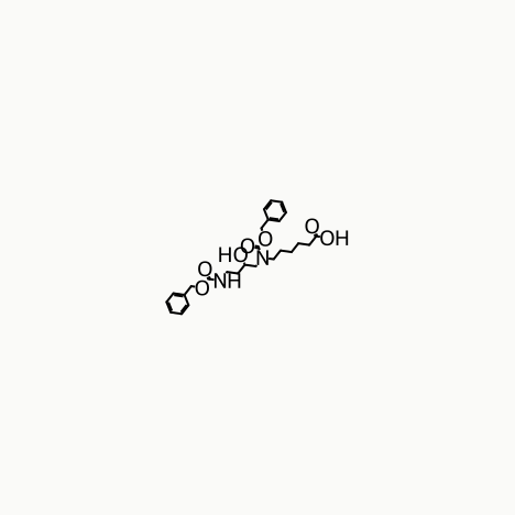 O=C(O)CCCCCN(C[C@H](O)CCNC(=O)OCc1ccccc1)C(=O)OCc1ccccc1